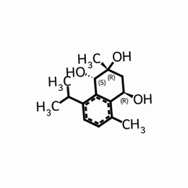 Cc1ccc(C(C)C)c2c1[C@H](O)C[C@@](C)(O)[C@H]2O